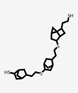 SCCC1CC2C(SCCC3CC4CC3CC4SCCC3CC4CC3CC4S)CC3CC132